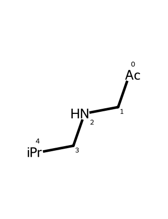 [CH2]C(=O)CNCC(C)C